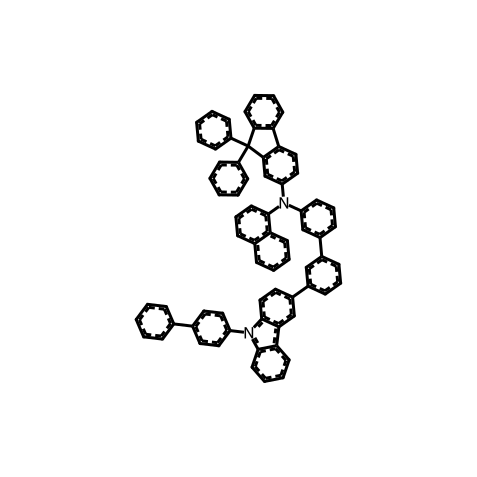 c1ccc(-c2ccc(-n3c4ccccc4c4cc(-c5cccc(-c6cccc(N(c7ccc8c(c7)C(c7ccccc7)(c7ccccc7)c7ccccc7-8)c7cccc8ccccc78)c6)c5)ccc43)cc2)cc1